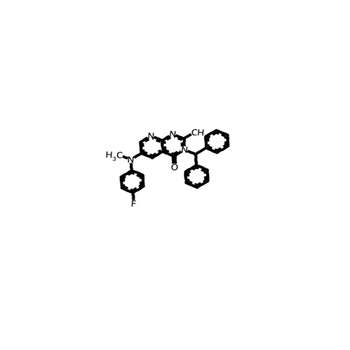 Cc1nc2ncc(N(C)c3ccc(F)cc3)cc2c(=O)n1C(c1ccccc1)c1ccccc1